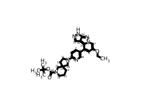 CCOc1cc(-c2ccc(N3CCC4(CCCN(C(=O)OC(C)(C)C)C4)C3)nc2)c2c3cn[nH]c3nn2c1